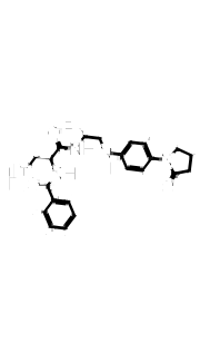 CC[C@@H](CNc1ccc(N2CCCC2=O)cc1)NC(=O)[C@H](CC(C)C)N[C@@H](c1ccccc1)C(F)(F)F